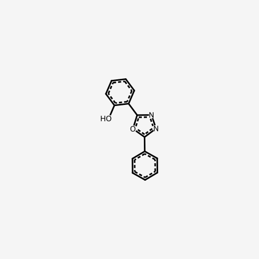 Oc1ccccc1-c1nnc(-c2ccccc2)o1